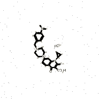 CN(C)c1ccc(CN2CCN(c3ccc4c(=O)c(C(=O)O)c(F)n(C5CC5)c4c3)CC2)cc1.Cl